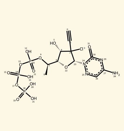 C#CC1(Cl)[C@@H](O)[C@@H]([C@@H](C)OP(=O)(O)OP(=O)(O)OP(=O)(O)O)O[C@H]1n1ncc(N)nc1=O